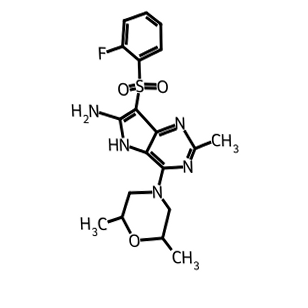 Cc1nc(N2CC(C)OC(C)C2)c2[nH]c(N)c(S(=O)(=O)c3ccccc3F)c2n1